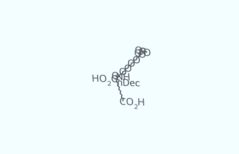 CCCCCCCCCCCC(CCCCCCCCCCC(=O)O)(C(=O)O)C(=O)NCCOCCOCCOCCOCCC(=O)ON1C(=O)CCC1=O